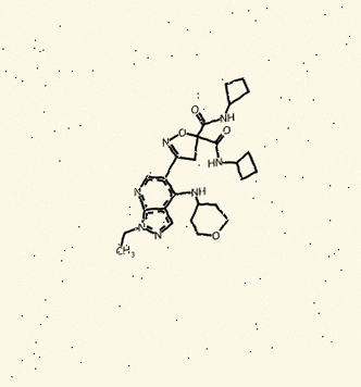 CCn1ncc2c(NC3CCOCC3)c(C3=NOC(C(=O)NC4CCC4)(C(=O)NC4CCC4)C3)cnc21